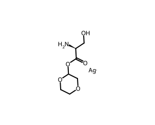 N[C@@H](CO)C(=O)OC1COCCO1.[Ag]